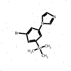 [CH3][Sn]([CH3])([CH3])[c]1cc(Br)cc(-n2ccnc2)c1